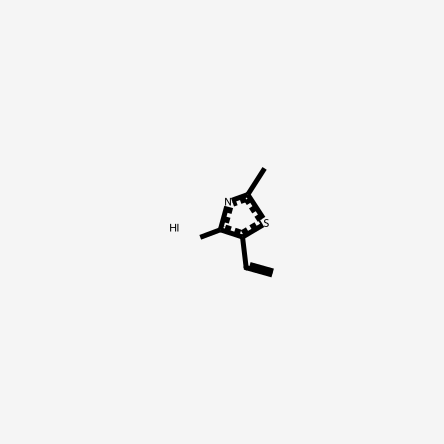 C=Cc1sc(C)nc1C.I